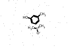 C[S+](C)[O-].Cc1cccc(O)c1